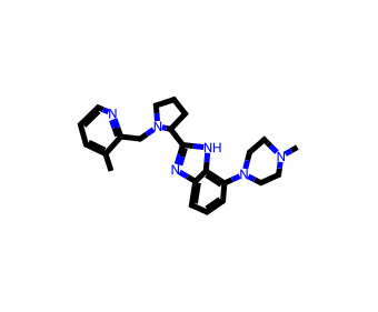 Cc1cccnc1CN1CCCC1c1nc2cccc(N3CCN(C)CC3)c2[nH]1